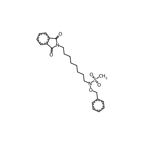 CS(=O)(=O)N(CCCCCCCCN1C(=O)c2ccccc2C1=O)OCc1ccccc1